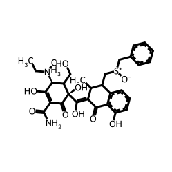 CCN(C)[C@@H]1C(O)=C(C(N)=O)C(=O)[C@@](O)(/C(O)=C2/C(=O)c3c(O)cccc3C(C[S+]([O-])Cc3ccccc3)C2C)C1CO